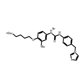 CCCCCCCCCCCCCCOc1ccc(NC(=O)Nc2ccc(C[n+]3ccsc3)cc2)cc1C(C)(C)C.[Br-]